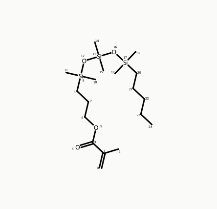 C=C(C)C(=O)OCCC[Si](C)(C)O[Si](C)(C)O[Si](C)(C)CCCCC